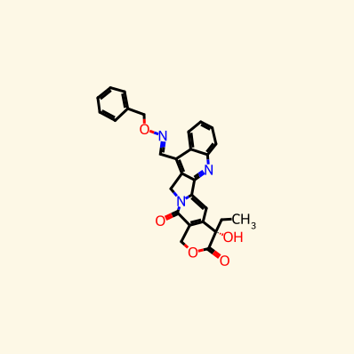 CC[C@@]1(O)C(=O)OCc2c1cc1n(c2=O)Cc2c-1nc1ccccc1c2C=NOCc1ccccc1